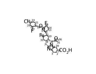 O=C(O)c1ccc2nc(Cc3ccc(-c4ccc(F)c(OCc5ccc(Cl)cc5F)n4)c(F)c3)n(CC3CCO3)c2c1